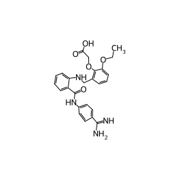 CCOc1cccc(CNc2ccccc2C(=O)Nc2ccc(C(=N)N)cc2)c1OCC(=O)O